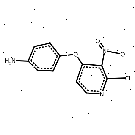 Nc1ccc(Oc2ccnc(Cl)c2[N+](=O)[O-])cc1